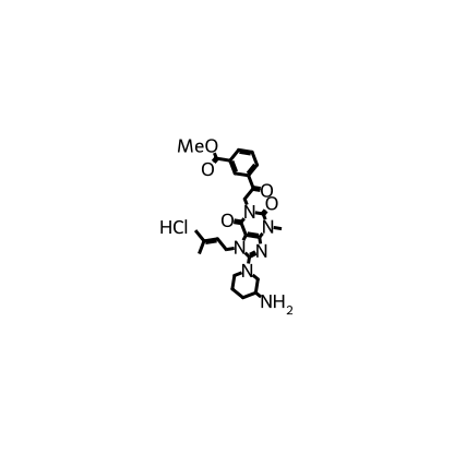 COC(=O)c1cccc(C(=O)Cn2c(=O)c3c(nc(N4CCCC(N)C4)n3CC=C(C)C)n(C)c2=O)c1.Cl